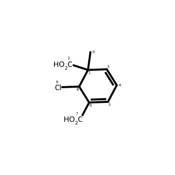 CC1(C(=O)O)C=CC=C(C(=O)O)C1Cl